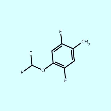 Cc1cc(F)c(OC(F)F)cc1F